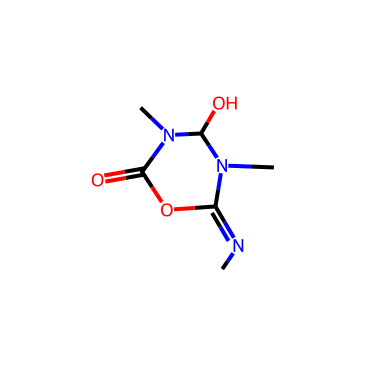 C/N=C1\OC(=O)N(C)C(O)N1C